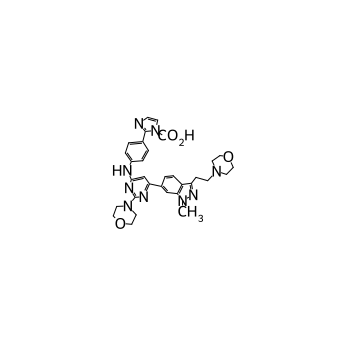 Cn1nc(CCN2CCOCC2)c2ccc(-c3cc(Nc4ccc(-c5nccn5C(=O)O)cc4)nc(N4CCOCC4)n3)cc21